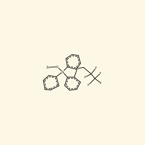 FC(F)(F)C(F)(F)COc1ccccc1[Si]([O][Zn])(c1ccccc1)c1ccccc1